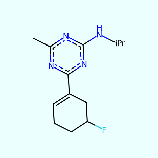 Cc1nc(NC(C)C)nc(C2=CCCC(F)C2)n1